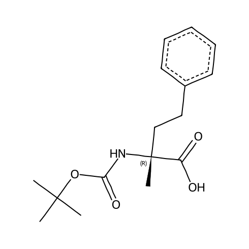 CC(C)(C)OC(=O)N[C@](C)(CCc1ccccc1)C(=O)O